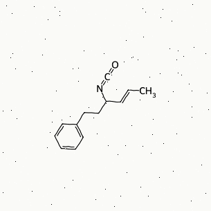 CC=CC(CCc1ccccc1)N=C=O